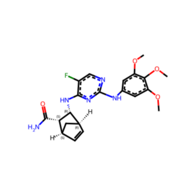 COc1cc(Nc2ncc(F)c(N[C@H]3[C@@H](C(N)=O)[C@@H]4C=C[C@H]3C4)n2)cc(OC)c1OC